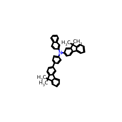 CC1(C)c2ccccc2-c2cc(-c3ccc(N(c4ccc5c(c4)C(C)(C)c4ccccc4-5)c4ccc5ccccc5c4)cc3)ccc21